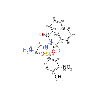 Cc1ccc(S(=O)(=O)N(CCN)N2C(=O)c3cccc4cccc(c34)C2=O)cc1[N+](=O)[O-]